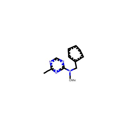 CON(Cc1ccccc1)c1n[c]nc(C)n1